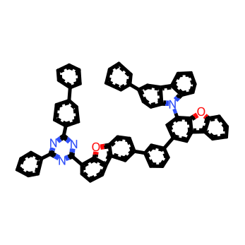 c1ccc(-c2ccc(-c3nc(-c4ccccc4)nc(-c4cccc5c4oc4ccc(-c6cccc(-c7cc(-n8c9ccccc9c9cc(-c%10ccccc%10)ccc98)c8oc9ccccc9c8c7)c6)cc45)n3)cc2)cc1